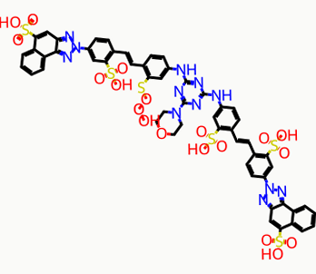 O=S(=O)(O)c1cc(Nc2nc(Nc3ccc(C=Cc4ccc(-n5nc6cc(S(=O)(=O)O)c7ccccc7c6n5)cc4S(=O)(=O)O)c(SOOO)c3)nc(N3CCOCC3)n2)ccc1C=Cc1ccc(-n2nc3cc(S(=O)(=O)O)c4ccccc4c3n2)cc1S(=O)(=O)O